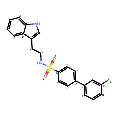 O=S(=O)(NCCc1c[nH]c2ccccc12)c1ccc(-c2cccc(Cl)c2)cc1